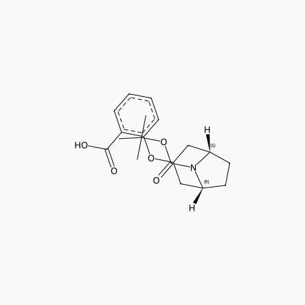 CC(C)(C)OC(=O)N1[C@@H]2CC[C@H]1CC(Oc1ccccc1C(=O)O)C2